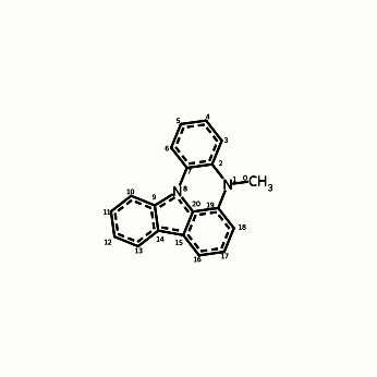 CN1c2ccccc2-n2c3ccccc3c3cccc1c32